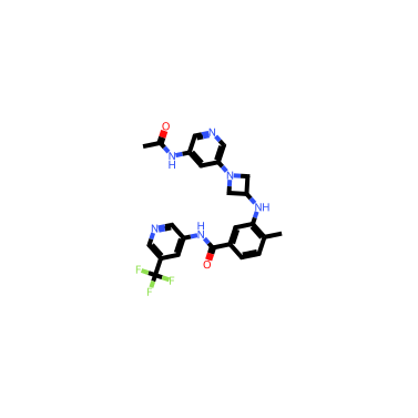 CC(=O)Nc1cncc(N2CC(Nc3cc(C(=O)Nc4cncc(C(F)(F)F)c4)ccc3C)C2)c1